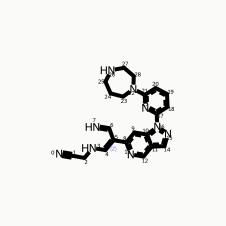 N#CCN/C=C(\C=N)c1cc2c(cn1)cnn2-c1cccc(N2CCCNCC2)n1